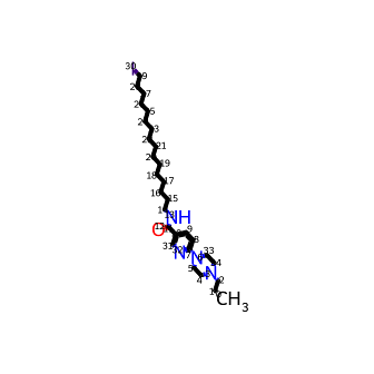 CCCN1CCN(c2ccc(C(=O)NCCCCCCCCCCCCCCCCI)cn2)CC1